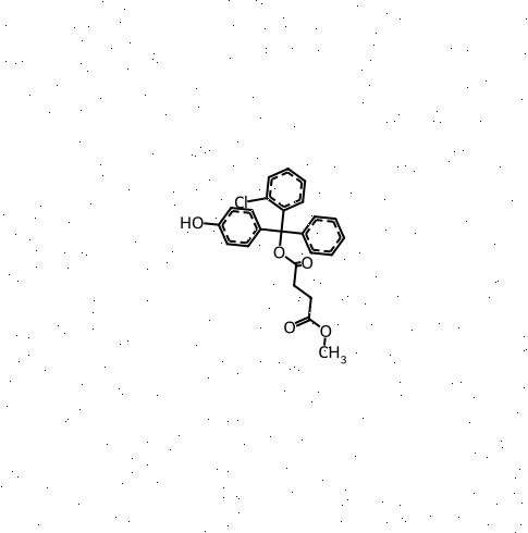 COC(=O)CCC(=O)OC(c1ccccc1)(c1ccc(O)cc1)c1ccccc1Cl